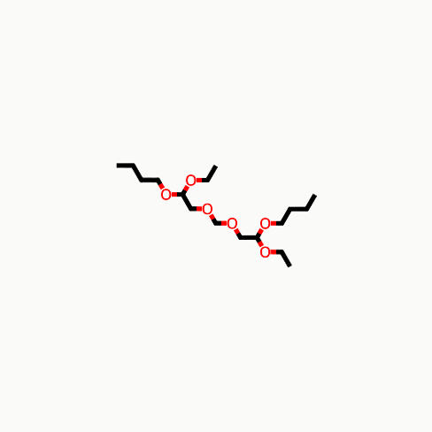 CCCCOC(COCOCC(OCC)OCCCC)OCC